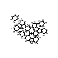 c1ccc(-c2ccc3c(c2)C2(c4ccccc4-c4ccccc42)c2cc(N(c4ccc5c(c4)C(c4ccccc4)(c4ccccc4)c4ccccc4-5)c4cccc5oc6ccccc6c45)ccc2-3)cc1